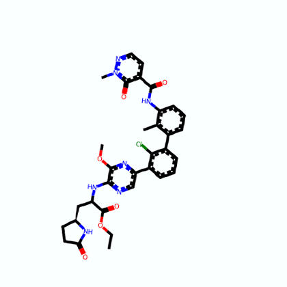 CCOC(=O)C(C[C@@H]1CCC(=O)N1)Nc1ncc(-c2cccc(-c3cccc(NC(=O)c4ccnn(C)c4=O)c3C)c2Cl)nc1OC